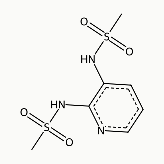 CS(=O)(=O)Nc1cccnc1NS(C)(=O)=O